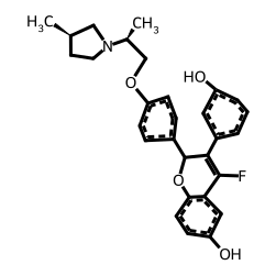 C[C@@H]1CCN([C@@H](C)COc2ccc(C3Oc4ccc(O)cc4C(F)=C3c3cccc(O)c3)cc2)C1